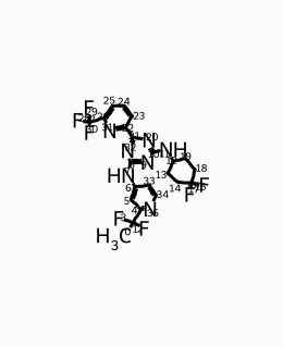 CC(F)(F)c1cc(Nc2nc(NC3CCC(F)(F)CC3)nc(-c3cccc(C(F)(F)F)n3)n2)ccn1